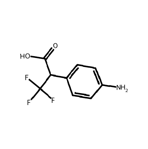 Nc1ccc(C(C(=O)O)C(F)(F)F)cc1